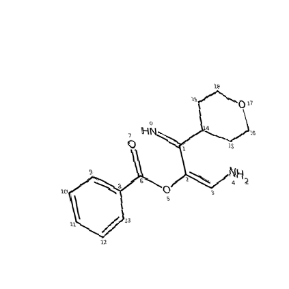 N=C(/C(=C\N)OC(=O)c1ccccc1)C1CCOCC1